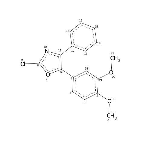 COc1ccc(-c2oc(Cl)nc2-c2ccccc2)cc1OC